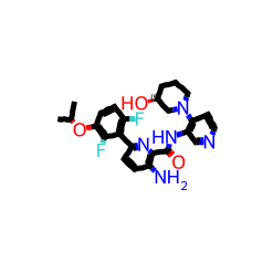 CC(C)Oc1ccc(F)c(-c2ccc(N)c(C(=O)Nc3cnccc3N3CCC[C@H](O)C3)n2)c1F